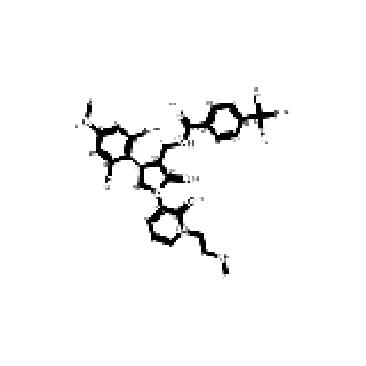 COCCn1cccc(N2C[C@@H](c3c(F)cc(OC)cc3F)C(CNC(=O)c3ccc(C(F)(F)F)cc3)C2=O)c1=O